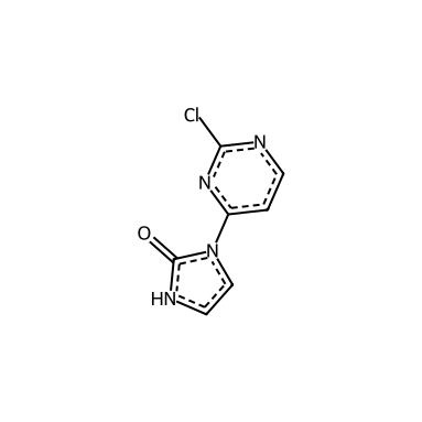 O=c1[nH]ccn1-c1ccnc(Cl)n1